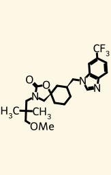 COCC(C)(C)CN1C[C@@]2(CCC[C@H](Cn3cnc4ccc(C(F)(F)F)cc43)C2)OC1=O